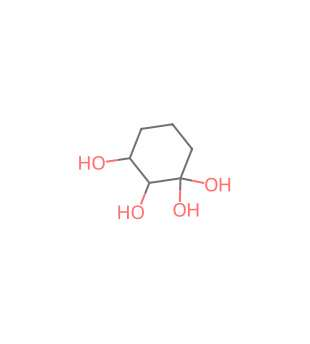 OC1CCCC(O)(O)C1O